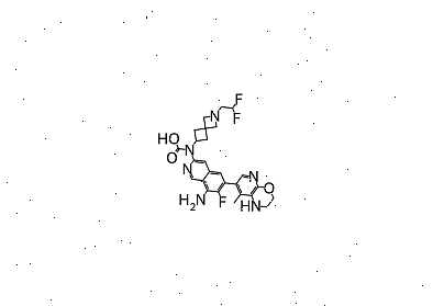 Cc1c(-c2cc3cc(N(C(=O)O)C4CC5(C4)CN(CC(F)F)C5)ncc3c(N)c2F)cnc2c1NCCO2